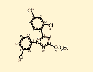 CCOC(=O)c1cc(-c2ccc(Cl)cc2Cl)n(-c2cccc(Cl)c2)n1